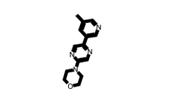 Cc1cncc(-c2cnc(N3CCOCC3)cn2)c1